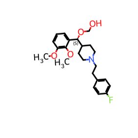 COc1cccc([C@@H](OCO)C2CCN(CCc3ccc(F)cc3)CC2)c1OC